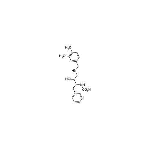 Cc1ccc(CNC[C@H](O)[C@H](Cc2ccccc2)NC(=O)O)cc1C